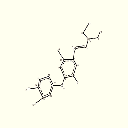 CCN(C=Nc1cc(C)c(Oc2ccc(F)c(I)c2)cc1C)CC